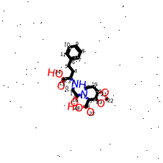 C[C@H](NC(CCc1ccccc1)C(=O)O)C(=O)N1CCC2OCOC2C1C(=O)O